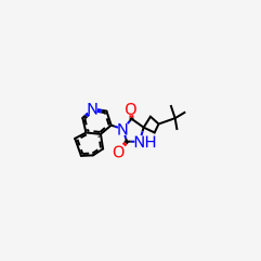 CC(C)(C)C1CC2(C1)NC(=O)N(c1cncc3ccccc13)C2=O